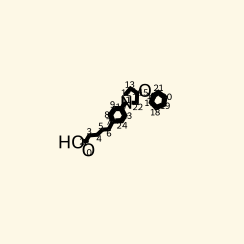 O=C(O)CCCCc1ccc(N2CC[C@H](Oc3ccccc3)C2)cc1